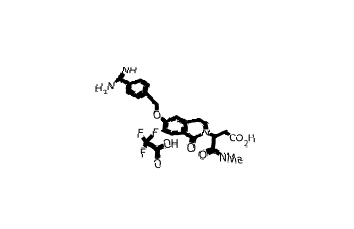 CNC(=O)C(CC(=O)O)N1CCc2cc(OCc3ccc(C(=N)N)cc3)ccc2C1=O.O=C(O)C(F)(F)F